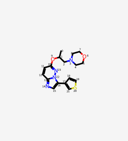 CC(CN1CCOCC1)Oc1ccc2ncc(-c3ccsc3)n2n1